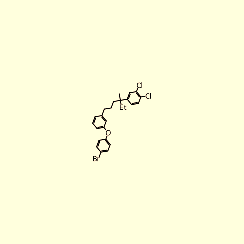 CCC(C)(CCCc1cccc(Oc2ccc(Br)cc2)c1)c1ccc(Cl)c(Cl)c1